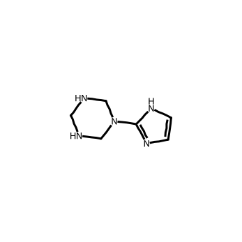 c1c[nH]c(N2CNCNC2)n1